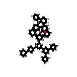 C1=CCC(c2cc(-c3nc(-c4ccc(-c5ccccc5)cc4)nc(-c4cc(-c5ccccc5)cc(-c5ccccc5)c4)n3)cc(-c3ccccc3)c2-n2c3ccccc3c3c(-n4c5ccccc5c5ccccc54)cccc32)C=C1